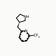 FC(F)(F)c1cccc(C[C@H]2CCNC2)n1